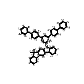 CC1(C)c2ccccc2-c2cc3c4ccccc4n(-c4nc(-c5ccc(-c6ccccc6)cc5)cc(-c5ccc(-c6ccccc6)cc5)n4)c3cc21